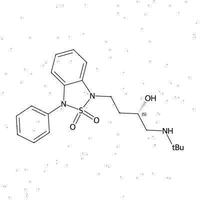 CC(C)(C)NC[C@@H](O)CCN1c2ccccc2N(c2ccccc2)S1(=O)=O